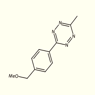 COCc1ccc(-c2nnc(C)nn2)cc1